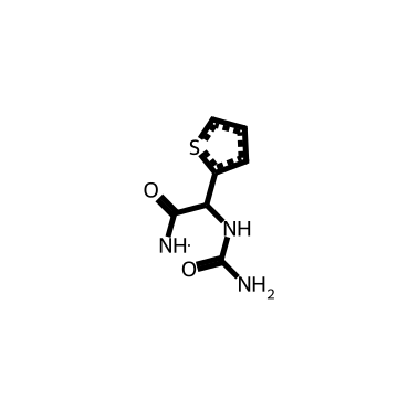 [NH]C(=O)C(NC(N)=O)c1cccs1